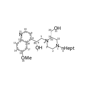 CCCCCCCN1CCN(C[C@H](O)c2ccnc3ccc(OC)cc23)[C@H](CO)C1